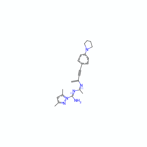 C=C(C#Cc1ccc(N2CCCC2)cc1)/N=C(C)\N=C(/N)n1nc(C)cc1C